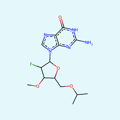 COC1C(COC(C)C)OC(n2cnc3c(=O)[nH]c(N)nc32)C1F